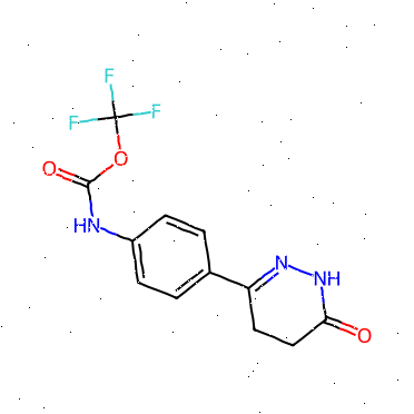 O=C1CCC(c2ccc(NC(=O)OC(F)(F)F)cc2)=NN1